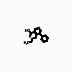 CCCCc1c(C(=O)O)cncc1-c1ccccc1